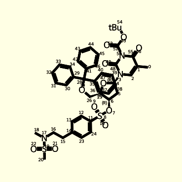 Cc1cn([C@H]2C[C@@H](OS(=O)(=O)c3ccc(CCN(C)S(C)(=O)=O)cc3)[C@@H](COC(c3ccccc3)(c3ccccc3)c3ccccc3)O2)c(=O)n(C(=O)OC(C)(C)C)c1=O